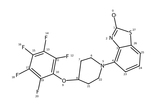 [O]c1nc2c(N3CCC(Oc4c(F)c(F)c(F)c(F)c4F)CC3)cccc2s1